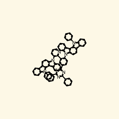 c1ccc(-c2nc(-c3ccccc3)nc(-c3ccc(-n4c5ccccc5c5c4ccc4c6ccccc6n(-c6ccccc6)c45)c(-c4ncccc4-n4c5ccccc5c5c4ccc4c6ccccc6n(-c6ccccc6)c45)c3)n2)cc1